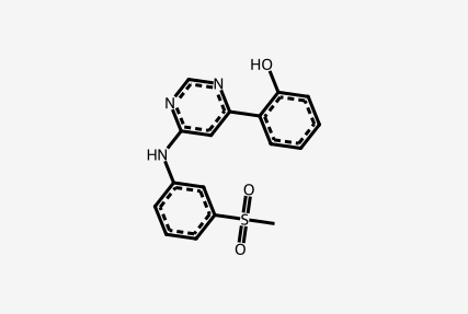 CS(=O)(=O)c1cccc(Nc2cc(-c3ccccc3O)ncn2)c1